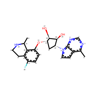 Cc1ncnc2c1ccn2[C@@H]1C[C@H](Oc2ccc(F)c3c2C(C)NCC3)[C@@H](O)[C@H]1O